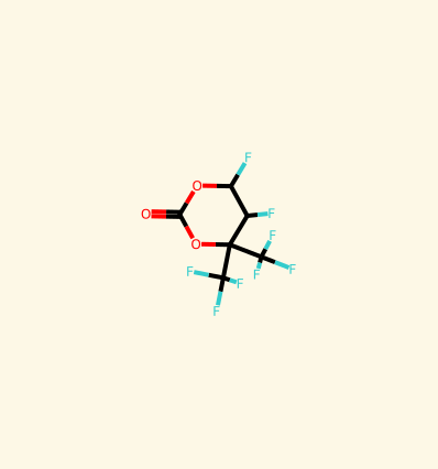 O=C1OC(F)C(F)C(C(F)(F)F)(C(F)(F)F)O1